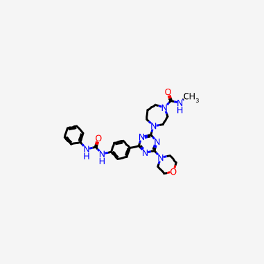 CNC(=O)N1CCCN(c2nc(-c3ccc(NC(=O)Nc4ccccc4)cc3)nc(N3CCOCC3)n2)CC1